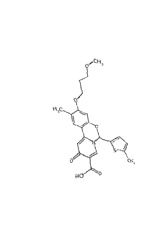 COCCCOc1cc2c(cc1C)-c1cc(=O)c(C(=O)O)cn1C(c1ccc(C)s1)O2